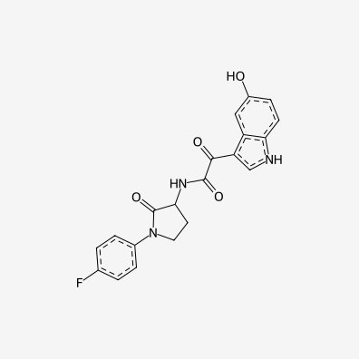 O=C(NC1CCN(c2ccc(F)cc2)C1=O)C(=O)c1c[nH]c2ccc(O)cc12